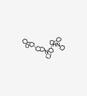 C1=CC2CC(=C1)c1ccc(-c3cccc(-c4ccccc4Nc4ccccc4)c3)cc1N2c1ccc2cc(-c3ccc4c(c3)oc3ccccc34)ccc2c1